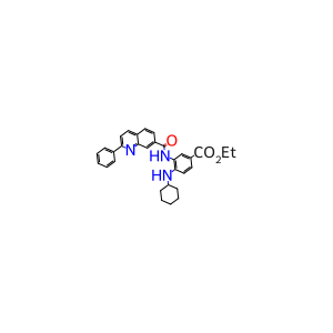 CCOC(=O)c1ccc(NC2CCCCC2)c(NC(=O)c2ccc3ccc(-c4ccccc4)nc3c2)c1